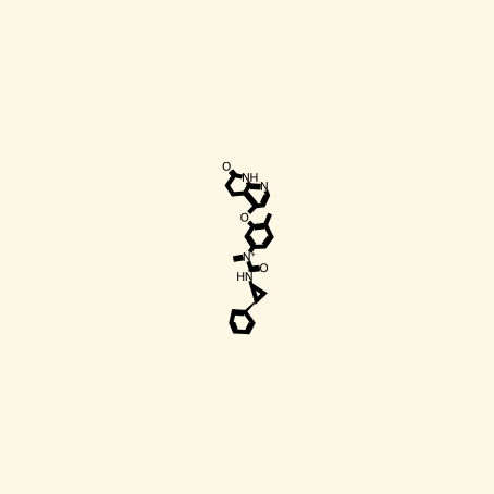 C=[N+](C(=O)N[C@H]1C[C@H]1c1ccccc1)c1ccc(C)c(Oc2ccnc3c2CCC(=O)N3)c1